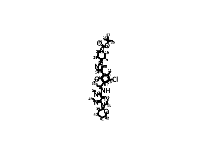 C=N/C(NC(C)c1cc(Cl)c(C)c(-c2cnn(C3CCN(C(=O)OC(C)(C)C)CC3)c2)c1OC)=C1/N=CN(C2CCCCO2)/C1=N/C